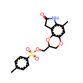 Cc1ccc(S(=O)(=O)OCC2COc3cc(C)c4c(c3O2)CC(=O)N4)cc1